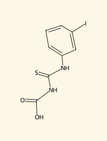 O=C(O)NC(=S)Nc1cccc(I)c1